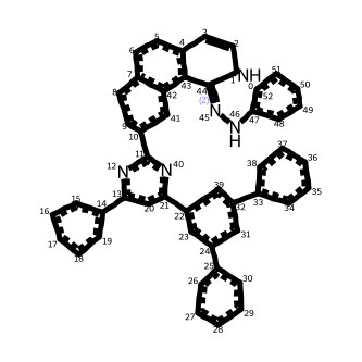 N=C1C=Cc2ccc3ccc(-c4nc(-c5ccccc5)cc(-c5cc(-c6ccccc6)cc(-c6ccccc6)c5)n4)cc3c2/C1=N/Nc1ccccc1